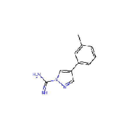 Cc1cccc(-c2cnn(C(=N)N)c2)c1